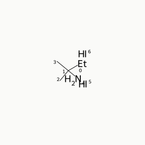 CCC(C)(C)N.I.I